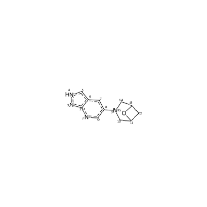 c1nc2n[nH]cc2cc1N1CC2CC(C1)O2